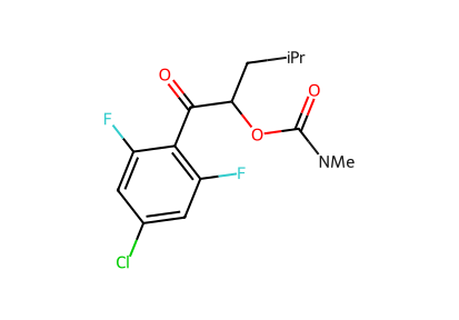 CNC(=O)OC(CC(C)C)C(=O)c1c(F)cc(Cl)cc1F